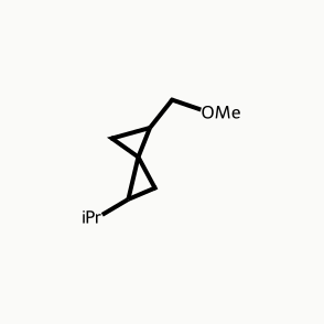 COCC1CC12CC2C(C)C